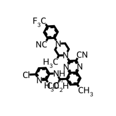 Cc1cc([C@@H](C)Nc2ccc(Cl)nc2C(=O)O)c2nc(N3CCN(c4ccc(C(F)(F)F)cc4C#N)CC3C)c(C#N)nc2c1